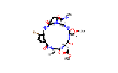 CC(C)C[C@@H]1NC(=O)c2ccc(Br)c(c2)CNC(=O)[C@@H]2CCCN2[C@H](C(=O)NC(C)(C)C)[C@H](C)NC(=O)[C@H]([C@@H](C)OC(C)(C)C)NC(=O)[C@H](CC(=O)OC(C)(C)C)NC1=O